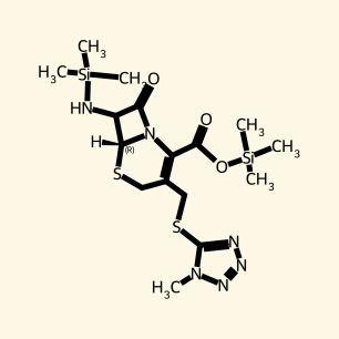 Cn1nnnc1SCC1=C(C(=O)O[Si](C)(C)C)N2C(=O)C(N[Si](C)(C)C)[C@H]2SC1